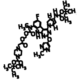 Cc1ncc(Oc2nc(N3C[C@H]4C[C@@H]3C[C@@H]4NC(=O)OC(C)(C)C)c3c(n2)[nH]c2c(N(C)C(=O)OCOC(=O)CN4CCN(C(=O)OC(C)(C)C)CC4)cc(F)cc23)cn1